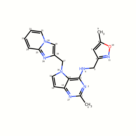 Cc1nc(NCc2cc(C)on2)c2c(ccn2Cc2cn3ccccc3n2)n1